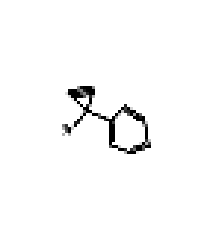 BrC1(c2ccccc2)C#C1